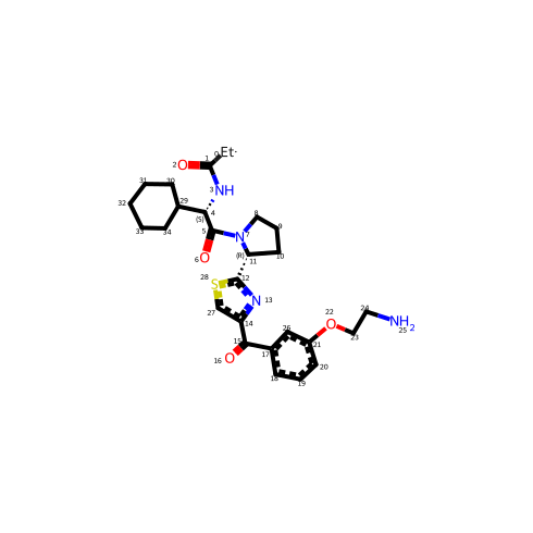 C[CH]C(=O)N[C@H](C(=O)N1CCC[C@@H]1c1nc(C(=O)c2cccc(OCCN)c2)cs1)C1CCCCC1